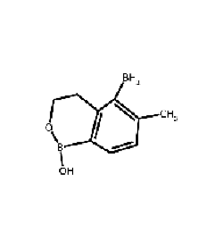 Bc1c(C)ccc2c1CCOB2O